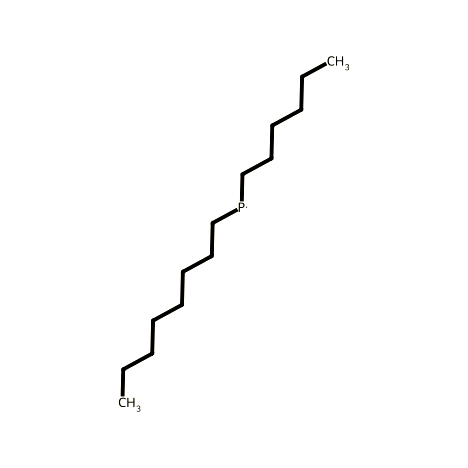 CCCCCCCC[P]CCCCCC